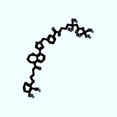 Cc1cccc(OCCCC(=O)N2CCCOc3c(-c4cnn(Cc5cccc(C(=O)NCCC[N+](C)(C)CC(=O)OC(C)(C)C)c5)c4)cccc32)c1C